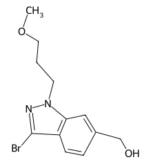 COCCCn1nc(Br)c2ccc(CO)cc21